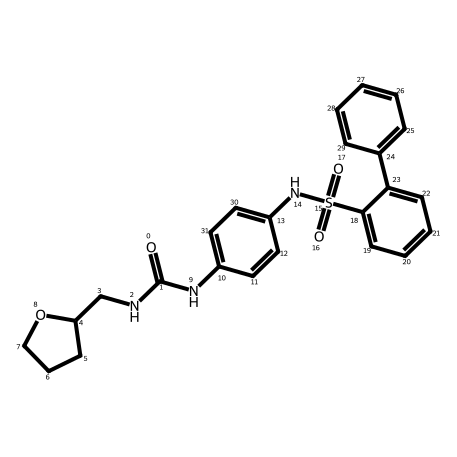 O=C(NCC1CCCO1)Nc1ccc(NS(=O)(=O)c2ccccc2-c2ccccc2)cc1